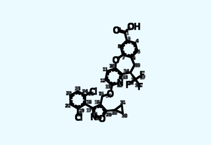 O=C(O)c1ccc2c(c1)Oc1ccc(OCc3c(-c4c(Cl)cccc4Cl)noc3C3CC3)nc1[C@H](C(F)(F)F)C2